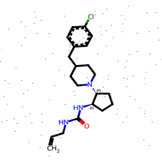 C=CCNC(=O)N[C@@H]1CCC[C@H]1N1CCC(Cc2ccc(Cl)cc2)CC1